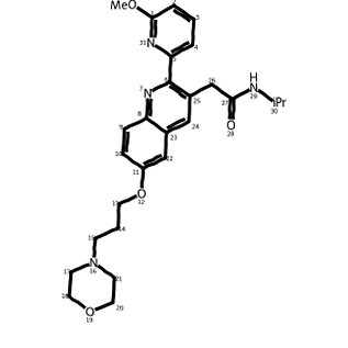 COc1cccc(-c2nc3ccc(OCCCN4CCOCC4)cc3cc2CC(=O)NC(C)C)n1